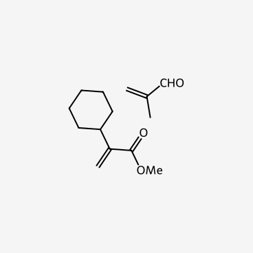 C=C(C(=O)OC)C1CCCCC1.C=C(C)C=O